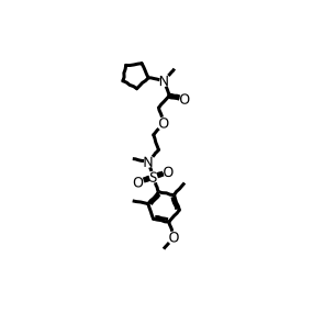 COc1cc(C)c(S(=O)(=O)N(C)CCOCC(=O)N(C)C2CCCC2)c(C)c1